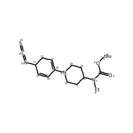 CCN(C(=O)OC(C)(C)C)C1CCN(C2=CCC(N=C=S)C=C2)CC1